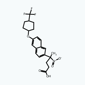 CC(CCC(=O)O)(c1ccc2cc(OC3CCC(C(F)(F)F)CC3)ccc2c1)[N+](=O)[O-]